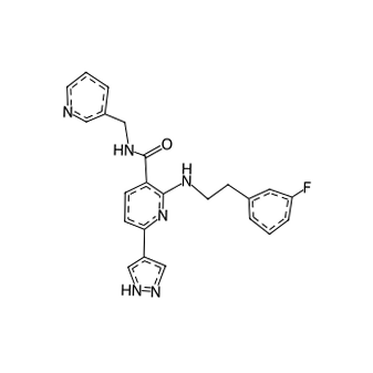 O=C(NCc1cccnc1)c1ccc(-c2cn[nH]c2)nc1NCCc1cccc(F)c1